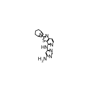 Nc1cc(Nc2nccc3nc(N4C5CCCC4CC5)sc23)ncn1